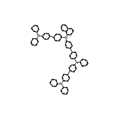 c1ccc(N(c2ccccc2)c2ccc(-c3ccc(N(c4ccccc4)c4ccc(-c5ccc(N(c6ccc(-c7ccc(N(c8ccccc8)c8ccccc8)cc7)cc6)c6cccc7ccccc67)cc5)cc4)cc3)cc2)cc1